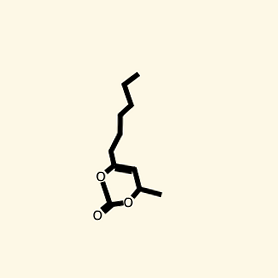 CCCCCCC1=CC(C)OC(=O)O1